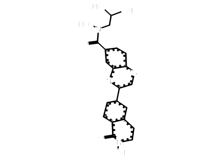 CC(O)CN(C)C(=O)c1ccc2ncc(-c3ccc4c(=O)n(C)ccc4c3)nc2c1